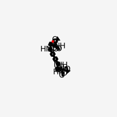 COC(=O)N[C@H](C(=O)N1[C@@H](C)CC[C@H]1c1nc(-c2ccc(-c3ccc(-c4c[nH]c([C@@H]5CC[C@H](C)N5C(=O)[C@@H](NC(=O)OC)[C@H]5CCOC6(CC6)C5)n4)cc3)cc2)c[nH]1)[C@@H]1CCOC2(CC2)C1